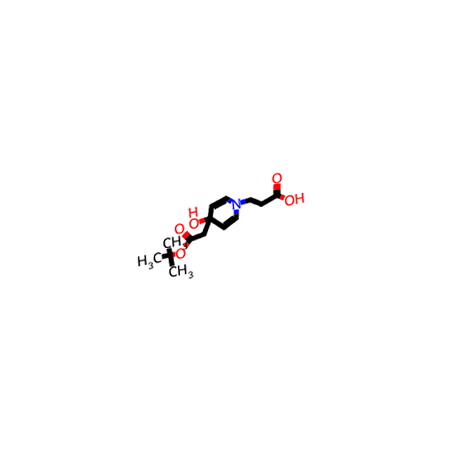 CC(C)(C)OC(=O)CC1(O)C=CN(CCC(=O)O)C=C1